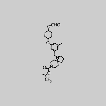 Cc1cc(CN2CCCC23CCN(C(=O)OC(C)C(F)(F)F)CC3)cc(OC2CCC(OC=O)CC2)c1